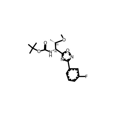 CO[C@@H](C)[C@@H](NC(=O)OC(C)(C)C)c1nc(-c2cccc(F)c2)no1